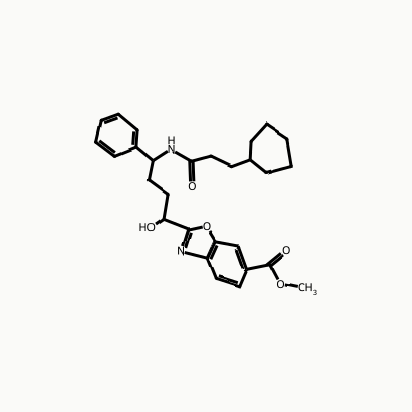 COC(=O)c1ccc2nc(C(O)CCC(NC(=O)CCC3CCCCC3)c3ccccc3)oc2c1